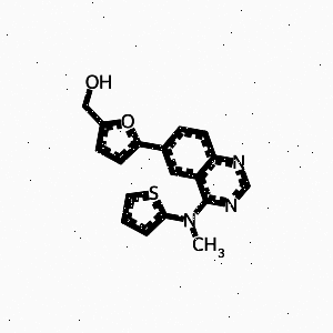 CN(c1cccs1)c1ncnc2ccc(-c3ccc(CO)o3)cc12